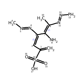 C=C(/C=C(N=NC)\C(N)=C(/C)N=NP)S(=O)(=O)O